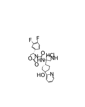 Cl.O=C(N[C@@]1([C@H]2CC[C@](O)(c3ccccn3)CC2)CCNC1)N1C(=O)OC[C@@H]1c1ccc(F)c(F)c1